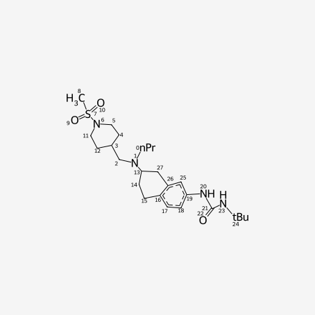 CCCN(CC1CCN(S(C)(=O)=O)CC1)C1CCc2ccc(NC(=O)NC(C)(C)C)cc2C1